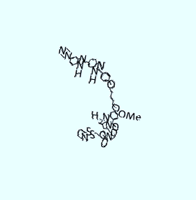 C=C1CC(C2OCCN2C(=O)OCCSSc2ccccn2)N(C(=O)c2cc(OC)c(OCCCCCOc3ccc(-c4nc5ccc(-c6nc7cc(N8CCN(C)CC8)ccc7[nH]6)cc5[nH]4)cc3)cc2N)C1